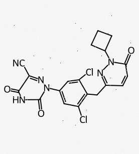 N#Cc1nn(-c2cc(Cl)c(Cc3ccc(=O)n(C4CCC4)n3)c(Cl)c2)c(=O)[nH]c1=O